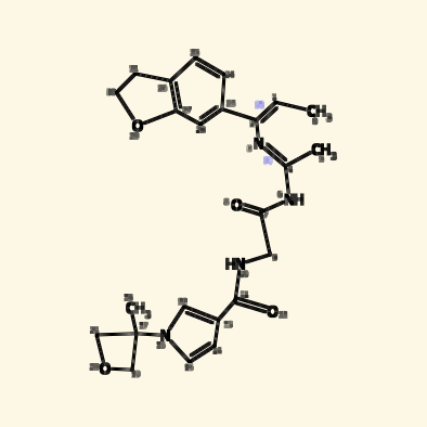 C/C=C(\N=C(/C)NC(=O)CNC(=O)c1ccn(C2(C)COC2)c1)c1ccc2c(c1)OCC2